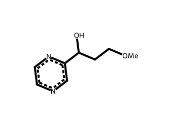 COCCC(O)c1cnccn1